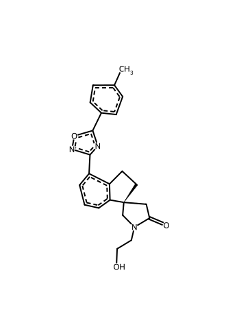 Cc1ccc(-c2nc(-c3cccc4c3CC[C@]43CC(=O)N(CCO)C3)no2)cc1